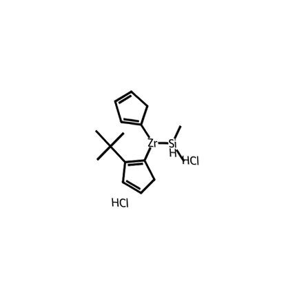 C[SiH](C)[Zr]([C]1=CC=CC1)[C]1=C(C(C)(C)C)C=CC1.Cl.Cl